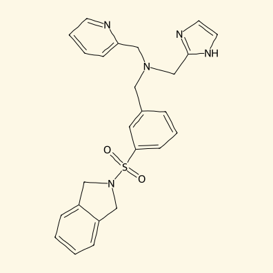 O=S(=O)(c1cccc(CN(Cc2ccccn2)Cc2ncc[nH]2)c1)N1Cc2ccccc2C1